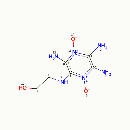 Nc1c(N)[n+]([O-])c(NCCO)c(N)[n+]1[O-]